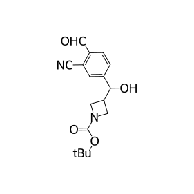 CC(C)(C)OC(=O)N1CC(C(O)c2ccc(C=O)c(C#N)c2)C1